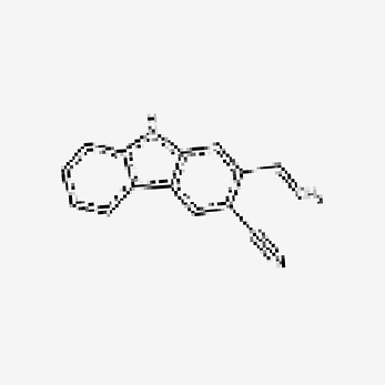 C=Cc1cc2[nH]c3ccccc3c2cc1C#N